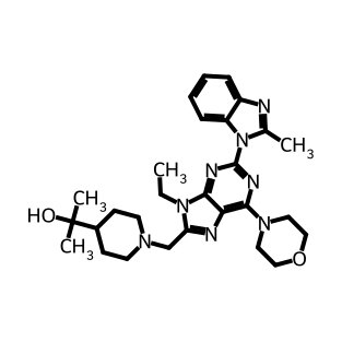 CCn1c(CN2CCC(C(C)(C)O)CC2)nc2c(N3CCOCC3)nc(-n3c(C)nc4ccccc43)nc21